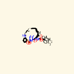 CC(C)(C)OC(=O)N[C@]12C[C@H]1/C=C/CCCCCNc1ccccc1S(=O)(=O)NC2=O